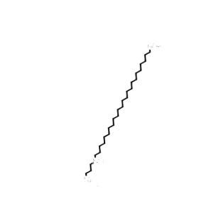 CCCCCCCCCCCCCCCCCCCCCCCCCCCCCCCCCCNCCCN